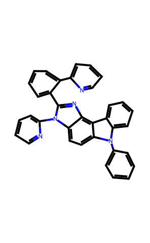 c1ccc(-n2c3ccccc3c3c4nc(-c5ccccc5-c5ccccn5)n(-c5ccccn5)c4ccc32)cc1